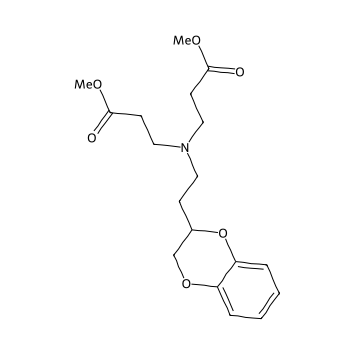 COC(=O)CCN(CCC(=O)OC)CCC1COc2ccccc2O1